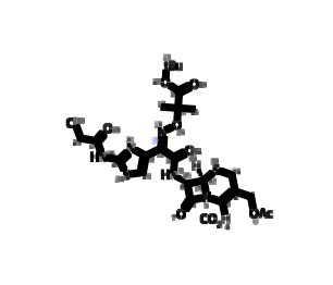 CC(=O)OCC1=C(C(=O)O)N2C(=O)[C@@H](NC(=O)/C(=N\OC(C)(C)C(=O)OC(C)(C)C)c3csc(NC(=O)CCl)n3)[C@H]2SC1